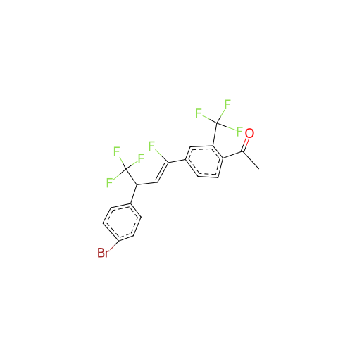 CC(=O)c1ccc(/C(F)=C/C(c2ccc(Br)cc2)C(F)(F)F)cc1C(F)(F)F